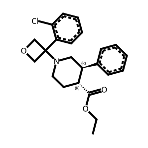 CCOC(=O)[C@@H]1CCN(C2(c3ccccc3Cl)COC2)C[C@H]1c1ccccc1